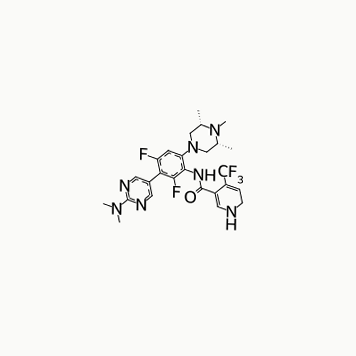 C[C@@H]1CN(c2cc(F)c(-c3cnc(N(C)C)nc3)c(F)c2NC(=O)C2=CNCC=C2C(F)(F)F)C[C@H](C)N1C